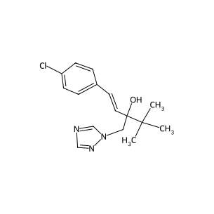 CC(C)(C)C(O)(C=Cc1ccc(Cl)cc1)Cn1cncn1